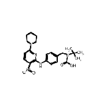 CC(C)(C)N(Cc1ccc(Nc2nc(N3CCCCC3)ccc2[N+](=O)[O-])cc1)C(=O)O